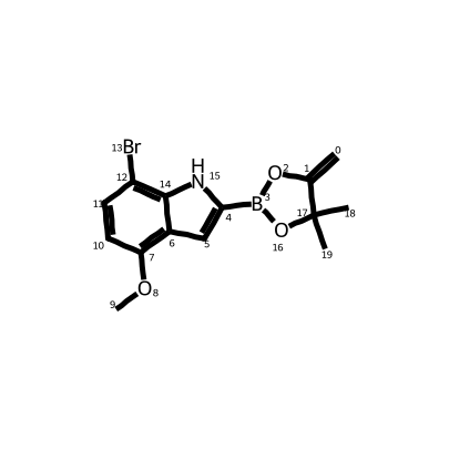 C=C1OB(c2cc3c(OC)ccc(Br)c3[nH]2)OC1(C)C